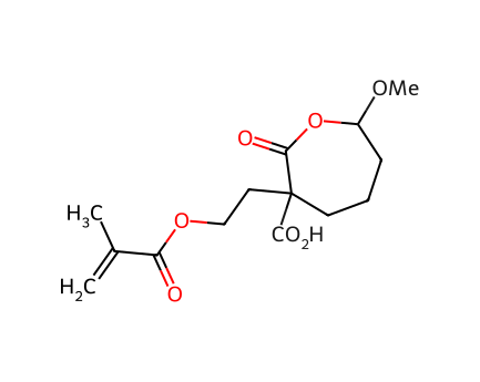 C=C(C)C(=O)OCCC1(C(=O)O)CCCC(OC)OC1=O